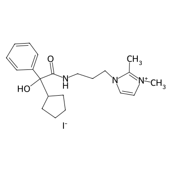 Cc1n(CCCNC(=O)C(O)(c2ccccc2)C2CCCC2)cc[n+]1C.[I-]